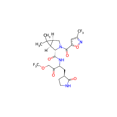 CC1(C)[C@@H]2[C@@H](C(=O)NC(C[C@@H]3CCNC3=O)C(=O)COC(F)(F)F)N(C(=O)c3cc(C(F)(F)F)no3)C[C@@H]21